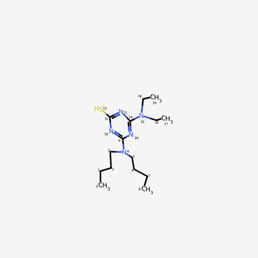 CCCCN(CCCC)c1nc(S)nc(N(CC)CC)n1